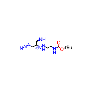 CC(C)(C)OC(=O)NCCN/N=C(\C=N)CN=[N+]=[N-]